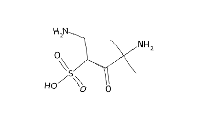 CC(C)(N)C(=O)C(CN)S(=O)(=O)O